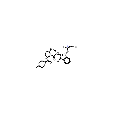 CC(C)C[C@@H](NC(=O)c1ccccc1OC/C(F)=C\C(C)(C)C)C(=O)N1CCC[C@@H]1C(=O)N1CCN(C)CC1